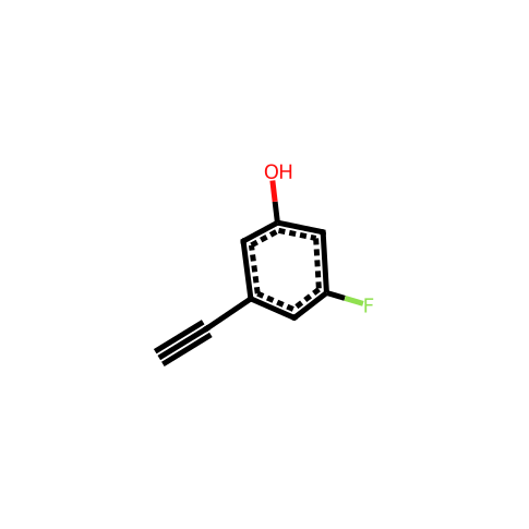 C#Cc1cc(O)cc(F)c1